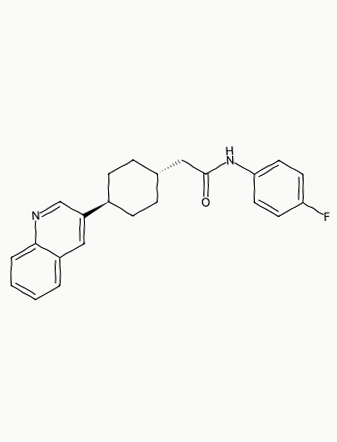 O=C(C[C@H]1CC[C@H](c2cnc3ccccc3c2)CC1)Nc1ccc(F)cc1